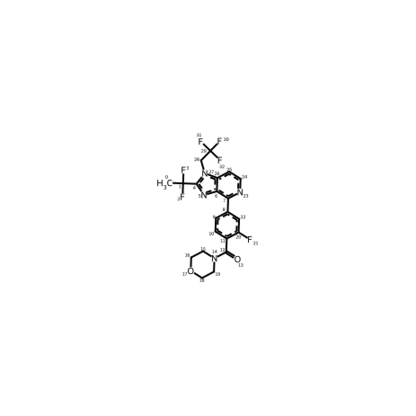 CC(F)(F)c1nc2c(-c3ccc(C(=O)N4CCOCC4)c(F)c3)nccc2n1CC(F)(F)F